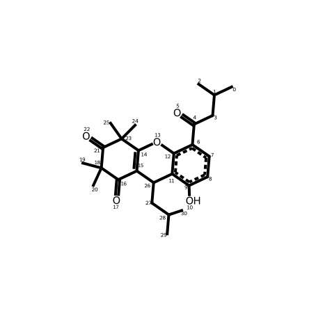 CC(C)CC(=O)c1ccc(O)c2c1OC1=C(C(=O)C(C)(C)C(=O)C1(C)C)C2CC(C)C